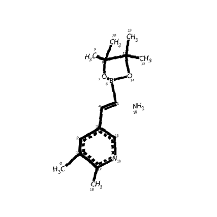 Cc1cc(C=CB2OC(C)(C)C(C)(C)O2)cnc1C.N